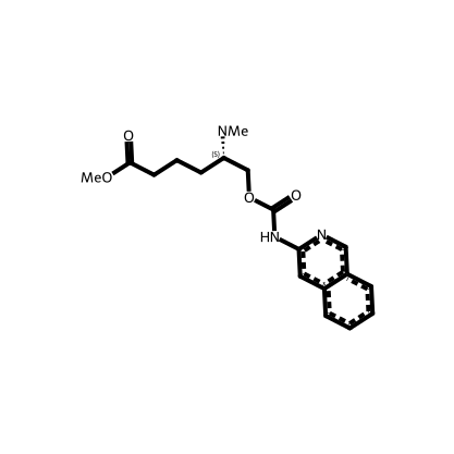 CN[C@@H](CCCC(=O)OC)COC(=O)Nc1cc2ccccc2cn1